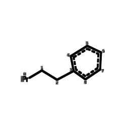 CC(C)CCc1[c][c]ccc1